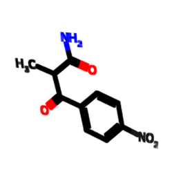 CC(C(N)=O)C(=O)c1ccc([N+](=O)[O-])cc1